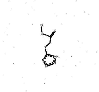 CCOC(=O)CSc1nnn[nH]1